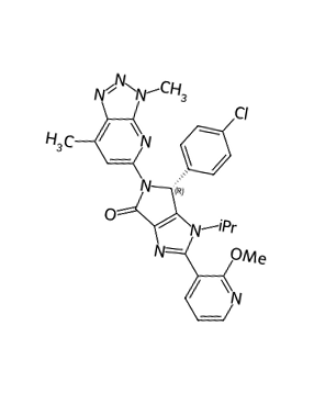 COc1ncccc1-c1nc2c(n1C(C)C)[C@@H](c1ccc(Cl)cc1)N(c1cc(C)c3nnn(C)c3n1)C2=O